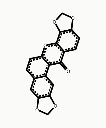 O=c1c2ccc3c(c2oc2ccc4cc5c(cc4c12)OCO5)OCO3